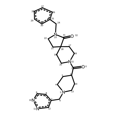 O=C(C1CCN(Cc2ccnnc2)CC1)N1CCC2(CC1)CCN(Cc1ccccc1)C2=O